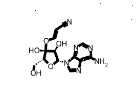 N#CC=CO[C@@]1(O)[C@@H](CO)O[C@@H](n2cnc3c(N)ncnc32)[C@@H]1O